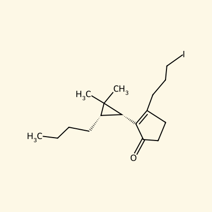 CCCC[C@H]1[C@@H](C2=C(CCCI)CCC2=O)C1(C)C